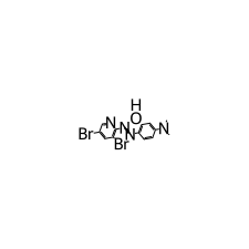 CN(C)c1ccc(N=Nc2ncc(Br)cc2Br)c(O)c1